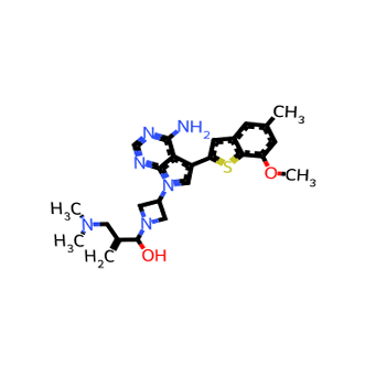 C=C(CN(C)C)C(O)N1CC(n2cc(-c3cc4cc(C)cc(OC)c4s3)c3c(N)ncnc32)C1